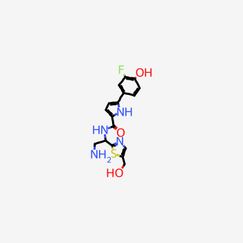 NCC(NC(=O)c1ccc(-c2ccc(O)c(F)c2)[nH]1)c1ncc(CO)s1